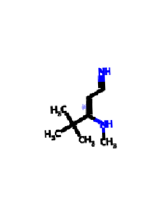 CN/C(=C\C=N)C(C)(C)C